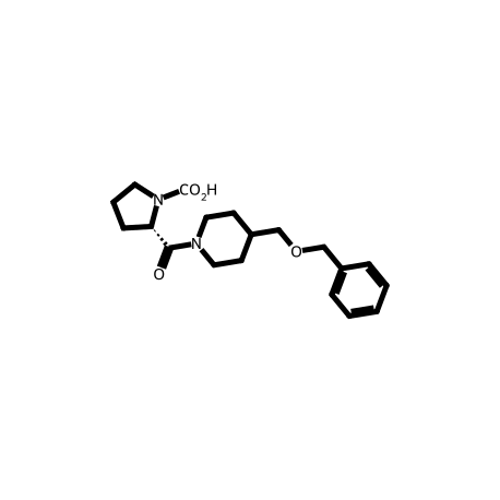 O=C([C@@H]1CCCN1C(=O)O)N1CCC(COCc2ccccc2)CC1